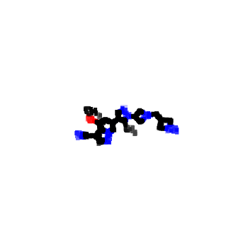 COc1cc(-c2cnn(C3CN(CC4CNC4)C3)c2C)cn2ncc(C#N)c12